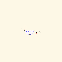 CCC(CN1C=CN(CC(CC)OC)C1)OC